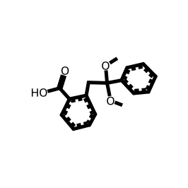 COC(Cc1ccccc1C(=O)O)(OC)c1ccccc1